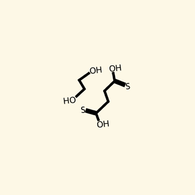 OC(=S)CCC(O)=S.OCCO